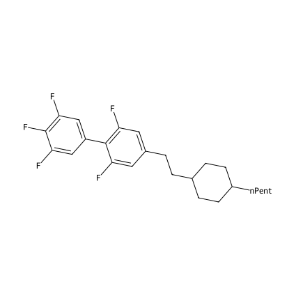 CCCCCC1CCC(CCc2cc(F)c(-c3cc(F)c(F)c(F)c3)c(F)c2)CC1